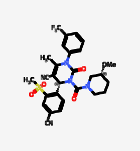 CO[C@@H]1CCCN(C(=O)N2C(=O)N(c3cccc(C(F)(F)F)c3)C(C)=C(C#N)[C@H]2c2ccc(C#N)cc2S(C)(=O)=O)C1